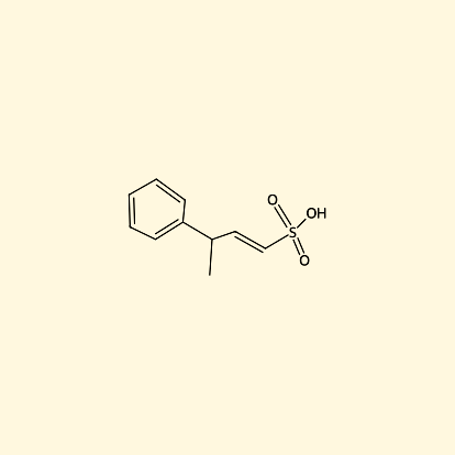 CC(C=CS(=O)(=O)O)c1ccccc1